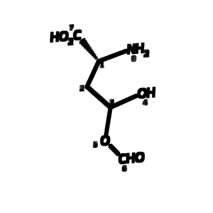 N[C@H](CC(O)OC=O)C(=O)O